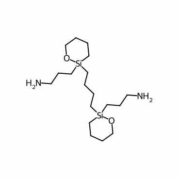 NCCC[Si]1(CCCC[Si]2(CCCN)CCCCO2)CCCCO1